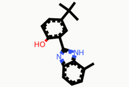 Cc1cccc2nc(-c3cc(C(C)(C)C)ccc3O)[nH]c12